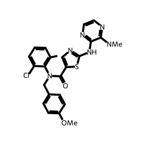 CNc1nccnc1Nc1ncc(C(=O)N(Cc2ccc(OC)cc2)c2c(C)cccc2Cl)s1